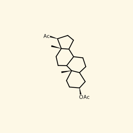 CC(=O)O[C@H]1CC[C@@]2(C)C(CCC3C2CC[C@@]2(C)C3CC[C@@H]2C(C)=O)C1